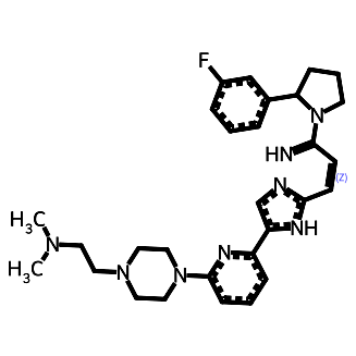 CN(C)CCN1CCN(c2cccc(-c3cnc(/C=C\C(=N)N4CCCC4c4cccc(F)c4)[nH]3)n2)CC1